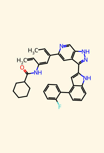 C=C/C(=C\C(=C/C)c1cc2c(-c3cc4c(-c5ccccc5F)cccc4[nH]3)n[nH]c2cn1)NC(=O)C1CCCCC1